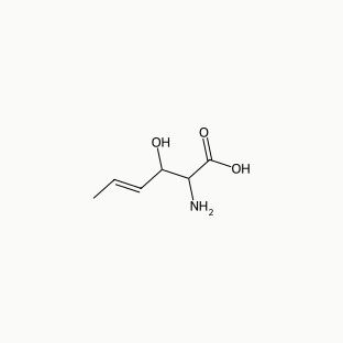 C/C=C/C(O)C(N)C(=O)O